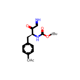 CC(=O)Oc1ccc(C[C@H](NC(=O)OC(C)(C)C)C(=O)C=N)cc1